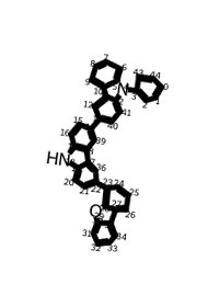 c1ccc(-n2c3ccccc3c3cc(-c4ccc5[nH]c6ccc(-c7cccc8c7oc7ccccc78)cc6c5c4)ccc32)cc1